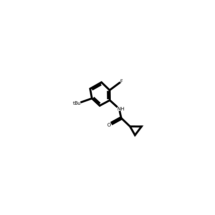 CC(C)(C)c1ccc(F)c(NC(=O)C2CC2)c1